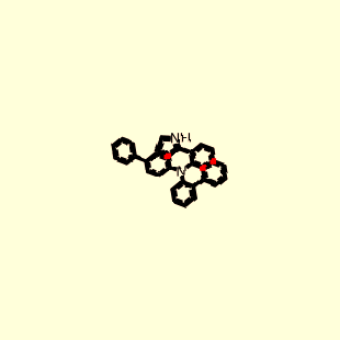 c1ccc(-c2ccc(N(c3ccccc3-c3ccccc3)c3ccccc3-c3ccc[nH]3)cc2)cc1